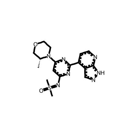 C[C@@H]1COCCN1c1cc(N=S(C)(C)=O)nc(-c2ccnc3[nH]ncc23)n1